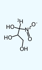 [2H]C(O)(C(O)CO)[N+](=O)[O-]